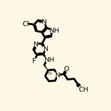 C#CCCC(=O)N1CCC[C@@H](CNc2nc(-c3c[nH]c4ncc(Cl)cc34)ncc2F)C1